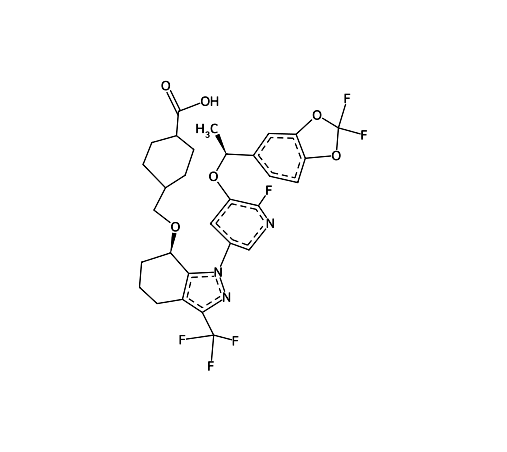 C[C@H](Oc1cc(-n2nc(C(F)(F)F)c3c2[C@H](OCC2CCC(C(=O)O)CC2)CCC3)cnc1F)c1ccc2c(c1)OC(F)(F)O2